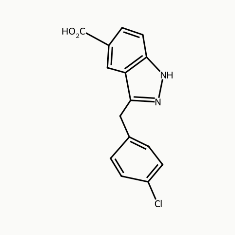 O=C(O)c1ccc2[nH]nc(Cc3ccc(Cl)cc3)c2c1